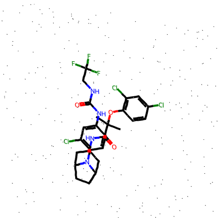 CC(C)(Oc1ccc(Cl)cc1Cl)C(=O)NC1CC2CCC(C1)N2c1ccc(NC(=O)NCC(F)(F)F)cc1Cl